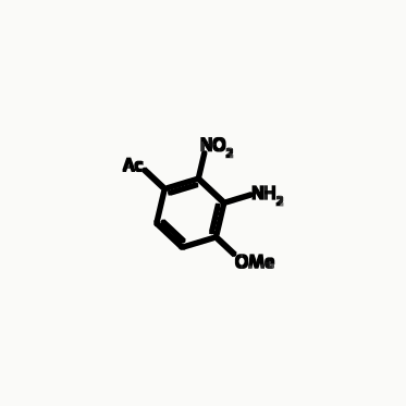 COc1ccc(C(C)=O)c([N+](=O)[O-])c1N